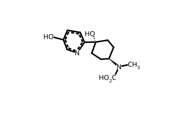 CN(C(=O)O)[C@H]1CC[C@@](O)(c2ccc(O)cn2)CC1